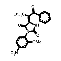 CCOC(=O)C(C(=O)c1ccccc1)=C1NC(=O)N(c2ccc([N+](=O)[O-])cc2OC)C1=O